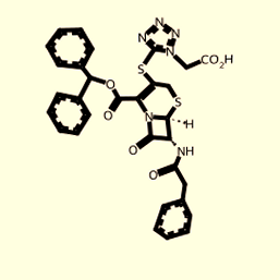 O=C(O)Cn1nnnc1SC1=C(C(=O)OC(c2ccccc2)c2ccccc2)N2C(=O)[C@@H](NC(=O)Cc3ccccc3)[C@@H]2SC1